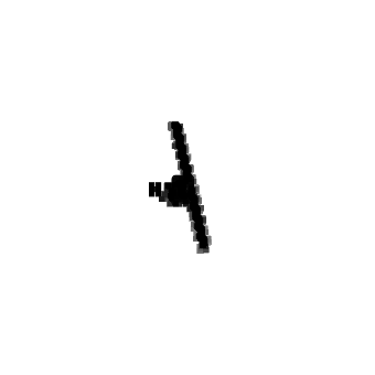 CCCCCCCCCCCCN(CCCCCCCCCCCC)C(=O)C(=O)N(N)N